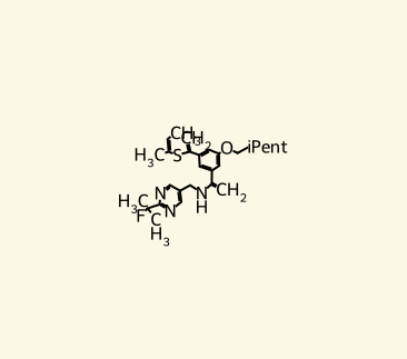 C=C(NCc1cnc(C(C)(C)F)nc1)c1cc(OCC(C)CCC)cc(C(=C)S/C(C)=C\C)c1